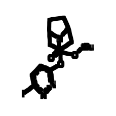 CC(C)(C)OC(=O)N1C2CCC1CC(Oc1ccc(I)nn1)C2